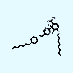 CCCCCCCCOC1=C(F)C(F)(c2ncc(CC[C@H]3CC[C@H](CCCCCCC)CC3)cn2)C(C(=O)O)C=C1